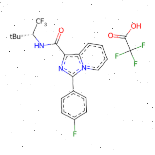 CC(C)(C)[C@@H](NC(=O)c1nc(-c2ccc(F)cc2)n2ccccc12)C(F)(F)F.O=C(O)C(F)(F)F